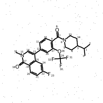 CC(C)C1CCN(C(=O)c2ccc(-c3cn(C)c(=O)c4ccc(F)cc34)cc2OC(F)(F)F)CC1